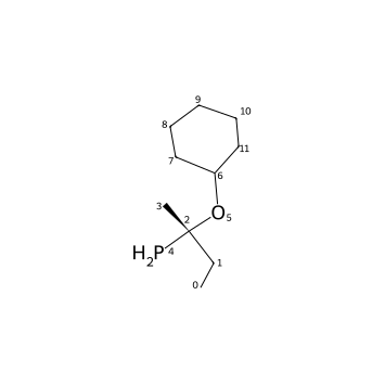 CC[C@](C)(P)OC1CCCCC1